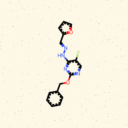 Fc1cnc(OCc2ccccc2)nc1N/N=C/c1ccco1